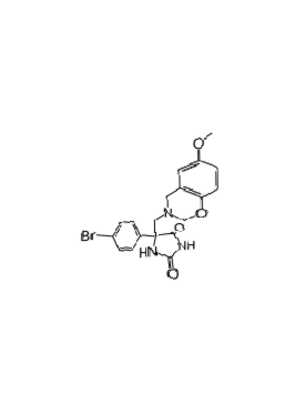 COc1ccc2c(c1)CN(CC1(c3ccc(Br)cc3)NC(=O)NC1=O)CO2